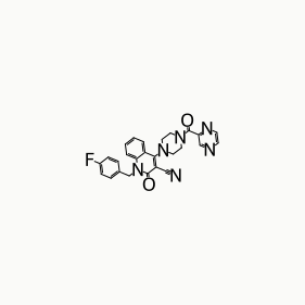 N#Cc1c(N2CCN(C(=O)c3cnccn3)CC2)c2ccccc2n(Cc2ccc(F)cc2)c1=O